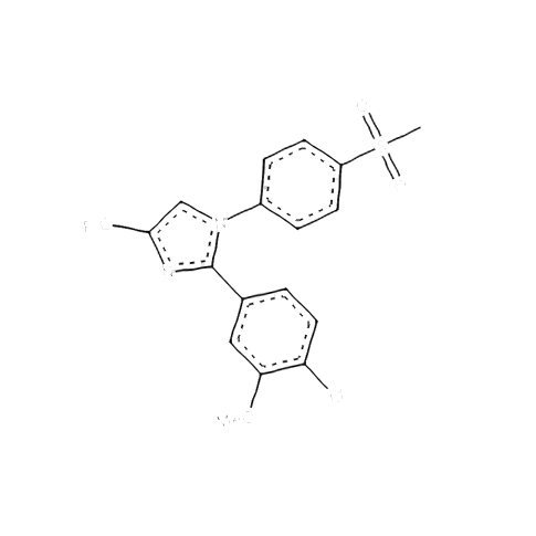 COc1cc(-c2nc(C(F)(F)F)cn2-c2ccc(S(C)(=O)=O)cc2)ccc1Cl